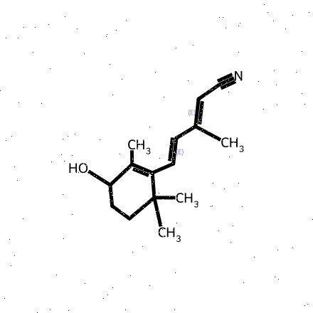 CC1=C(/C=C/C(C)=C/C#N)C(C)(C)CCC1O